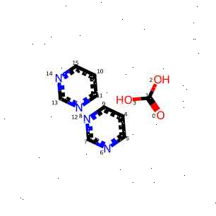 O=C(O)O.c1cncnc1.c1cncnc1